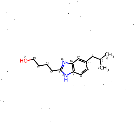 CC(C)Cc1ccc2[nH]c(CCCCO)nc2c1